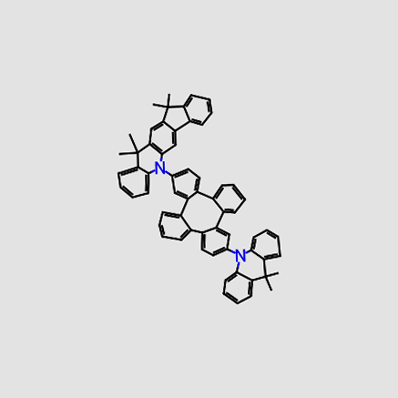 CC1(C)c2ccccc2-c2cc3c(cc21)C(C)(C)c1ccccc1N3c1ccc2c(c1)-c1ccccc1-c1ccc(N3c4ccccc4C(C)(C)c4ccccc43)cc1-c1ccccc1-2